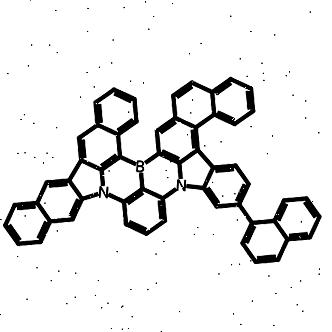 c1cc2c3c(c1)-n1c4cc(-c5cccc6ccccc56)ccc4c4c5c(ccc6ccccc65)cc(c41)B3c1c3ccccc3cc3c4cc5ccccc5cc4n-2c13